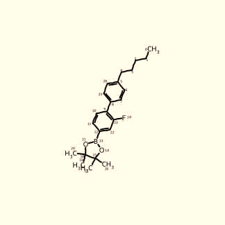 CCCCCc1ccc(-c2ccc(B3OC(C)(C)C(C)(C)O3)cc2F)cc1